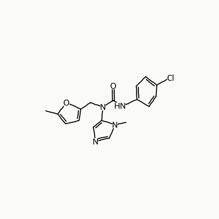 Cc1ccc(CN(C(=O)Nc2ccc(Cl)cc2)c2cncn2C)o1